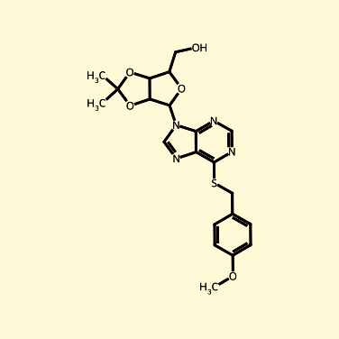 COc1ccc(CSc2ncnc3c2ncn3C2OC(CO)C3OC(C)(C)OC32)cc1